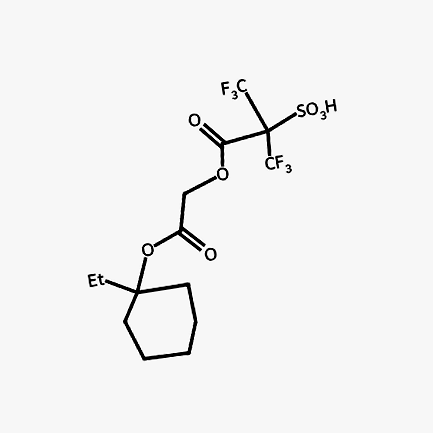 CCC1(OC(=O)COC(=O)C(C(F)(F)F)(C(F)(F)F)S(=O)(=O)O)CCCCC1